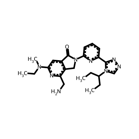 CCC(CC)n1cnnc1-c1cccc(N2Cc3c(cc(N(C)CC)nc3CN)C2=O)n1